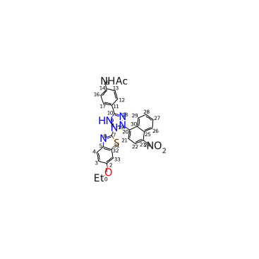 CCOc1ccc2nc(N3NC(c4ccc(NC(C)=O)cc4)=NN3c3ccc([N+](=O)[O-])c4ccccc34)sc2c1